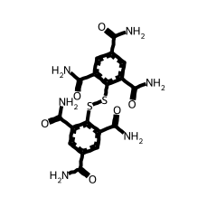 NC(=O)c1cc(C(N)=O)c(SSc2c(C(N)=O)cc(C(N)=O)cc2C(N)=O)c(C(N)=O)c1